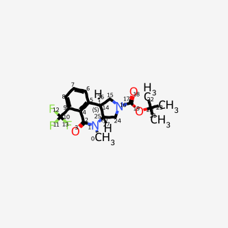 CN1C(=O)c2c(cccc2C(F)(F)F)[C@H]2CN(C(=O)OC(C)(C)C)C[C@@H]21